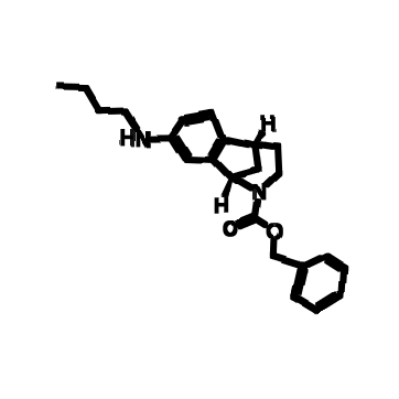 CCCCNc1ccc2c(c1)[C@@H]1C[C@H]2CCN1C(=O)OCc1ccccc1